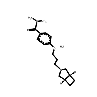 CN(C)C(=O)c1ccc(OCCCN2C[C@H]3CC[C@H]3C2)cc1.Cl